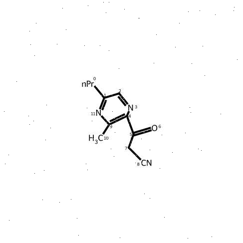 CCCc1cnc(C(=O)CC#N)c(C)n1